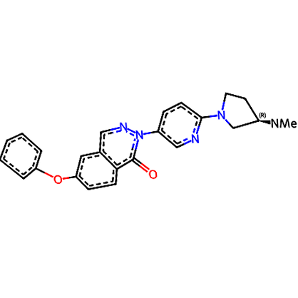 CN[C@@H]1CCN(c2ccc(-n3ncc4cc(Oc5ccccc5)ccc4c3=O)cn2)C1